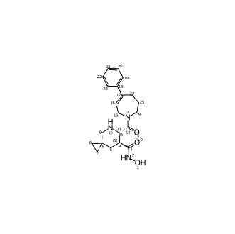 O=C(NO)[C@H]1CC2(CC2)CN[C@@H]1C(=O)N1CC=C(c2ccccc2)CCC1